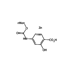 CCCCCCCCCOC(=O)Nc1ccc(C(=O)O)c(O)c1.[Zn]